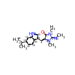 C/N=C1\N(C)C(=O)/C(=C\c2c[nH]c3cc(C(C)C)ccc23)N1C